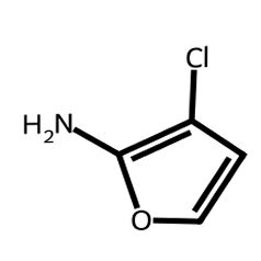 Nc1occc1Cl